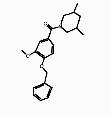 COc1cc(C(=O)N2CC(C)CC(C)C2)ccc1OCc1ccccc1